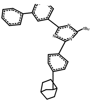 CC(C)(C)c1nc(-c2ccc(C3CC4CCC3CC4)cc2)nc(-c2cccc(-c3ccccc3)c2)n1